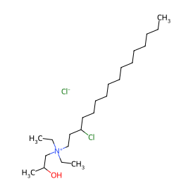 CCCCCCCCCCCCCC(Cl)CC[N+](CC)(CC)CC(C)O.[Cl-]